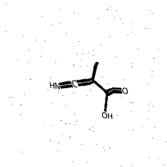 CC(=C=N)C(=O)O